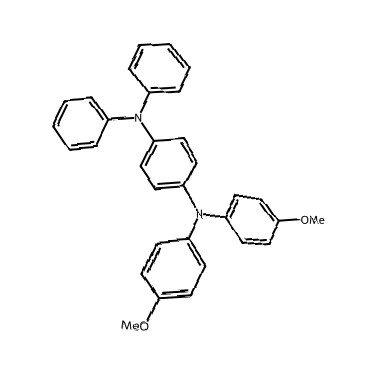 COc1ccc(N(c2ccc(OC)cc2)c2ccc(N(c3ccccc3)c3ccccc3)cc2)cc1